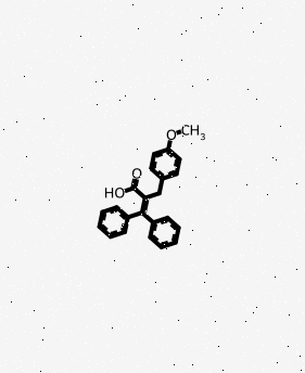 COc1ccc(CC(C(=O)O)=C(c2ccccc2)c2ccccc2)cc1